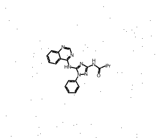 CC(C)C(=O)Nc1nc(Nc2ncnc3ccccc23)n(-c2ccccc2)n1